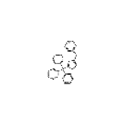 C1=C(Cc2ccccc2)C=C(C(c2ccccc2)(c2ccccc2)c2ccccc2)C1